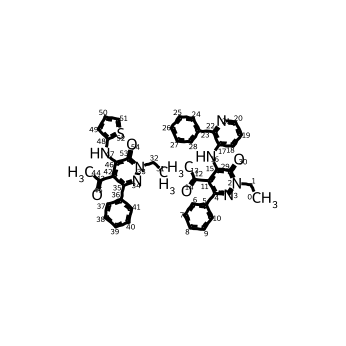 CCn1nc(-c2ccccc2)c(C(C)=O)c(Nc2cccnc2-c2ccccc2)c1=O.CCn1nc(-c2ccccc2)c(C(C)=O)c(Nc2cccs2)c1=O